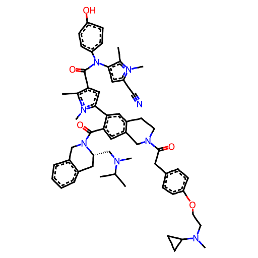 Cc1c(N(C(=O)c2cc(-c3cc4c(cc3C(=O)N3Cc5ccccc5C[C@H]3CN(C)C(C)C)CN(C(=O)Cc3ccc(OCCN(C)C5CC5)cc3)CC4)n(C)c2C)c2ccc(O)cc2)cc(C#N)n1C